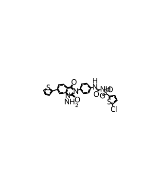 Nn1c(=O)n(-c2ccc(NC(=O)NS(=O)(=O)c3ccc(Cl)s3)cc2)c(=O)c2ccc(-c3cccs3)cc21